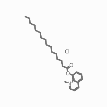 CCCCCCCCCCCCCCCC(=O)Oc1cccc2ccc[n+](C)c12.[Cl-]